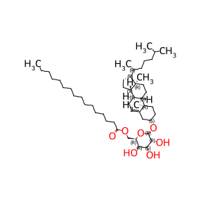 CCCCCCCCCCCCCCCC(=O)OC[C@H]1O[C@@H](O[C@H]2CC[C@@]3(C)C(=CC[C@H]4[C@@H]5CC[C@H]([C@H](C)CCCC(C)C)[C@@]5(C)CC[C@@H]43)C2)[C@H](O)[C@@H](O)[C@H]1O